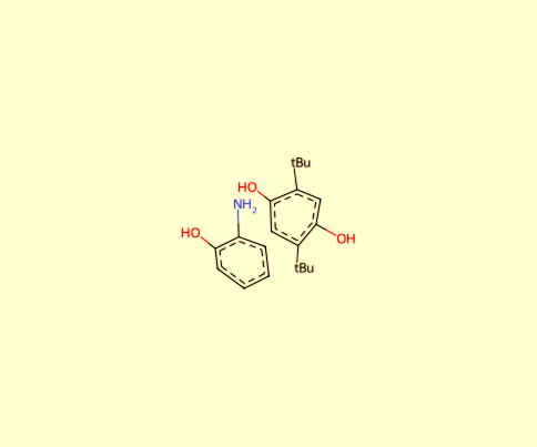 CC(C)(C)c1cc(O)c(C(C)(C)C)cc1O.Nc1ccccc1O